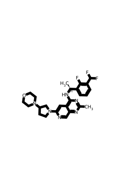 Cc1nc(N[C@H](C)c2cccc(C(F)F)c2F)c2cc(N3CCC(N4CCOCC4)C3)ncc2n1